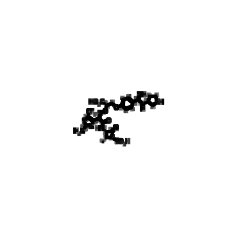 C[C@@H]1[C@H](NC(=O)/C(=N\O[C@@H](COc2ccc(C(=N)N[C@H]3CCNC3)cc2)C(=O)O)c2nc(N)sc2C(F)(F)F)C(=O)N1S(=O)(=O)O